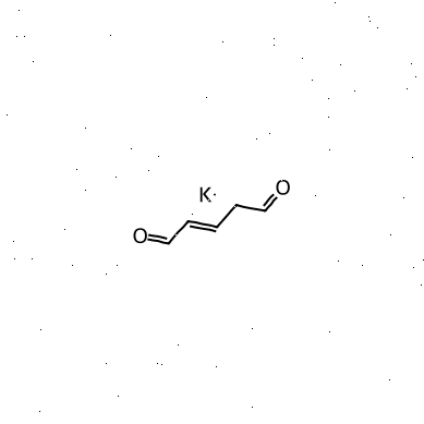 O=CC=CCC=O.[K]